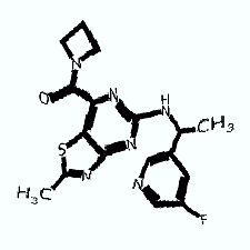 Cc1nc2nc(NC(C)c3cncc(F)c3)nc(C(=O)N3CCC3)c2s1